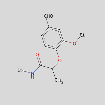 CCNC(=O)C(C)Oc1ccc(C=O)cc1OCC